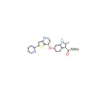 CNC(=O)c1c(C)n(C)c2cc(Oc3ccnc4cc(-c5ccccn5)sc34)ccc12